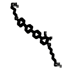 CCCCCCCOc1ccc(-c2ccc(-c3ccc(-c4ccc(OCCCCC)cc4)cc3)cc2)c(F)c1F